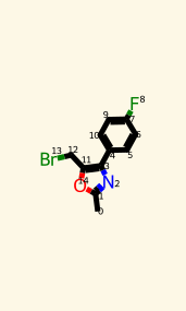 Cc1nc(-c2ccc(F)cc2)c(CBr)o1